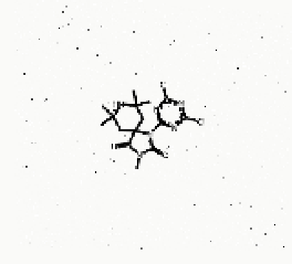 CN1C(=O)N(c2nc(Cl)nc(Cl)n2)C2(CC(C)(C)NC(C)(C)C2)C1=O